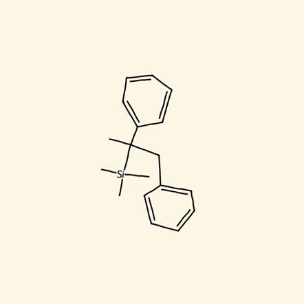 CC(Cc1ccccc1)(c1ccccc1)[Si](C)(C)C